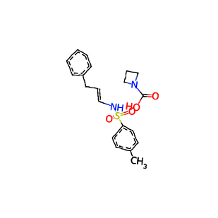 Cc1ccc(S(=O)(=O)NC=CCc2ccccc2)cc1.O=C(O)N1CCC1